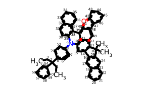 CCC(CC)(c1c#cc(N(c2ccc3c(c2)-c2cc4ccccc4cc2C3(C)C)c2ccc3ccccc3c2C2=c3oc4ccccc4c3=CCC2)cc1)c1ccccc1